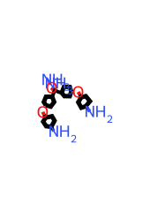 N.N.Nc1ccc(Oc2ccc(C(=O)c3ccc(Oc4ccc(N)cc4)cc3)cc2)cc1